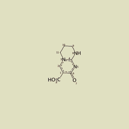 O=C(O)c1cn2c(nc1=O)NCCC2